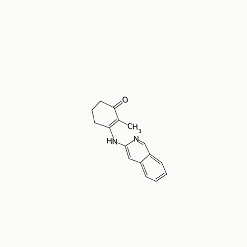 CC1=C(Nc2cc3ccccc3cn2)CCCC1=O